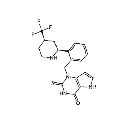 O=c1[nH]c(=S)n(Cc2ccccc2[C@@H]2C[C@H](C(F)(F)F)CCN2)c2cc[nH]c12